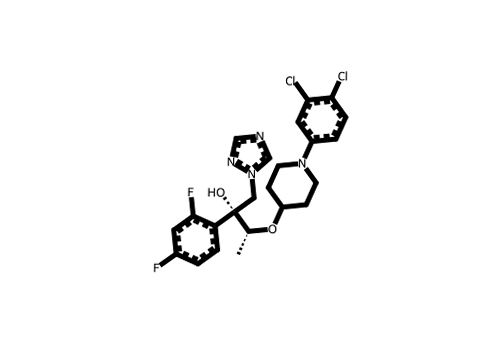 C[C@@H](OC1CCN(c2ccc(Cl)c(Cl)c2)CC1)[C@](O)(Cn1cncn1)c1ccc(F)cc1F